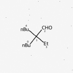 CCCCC(C=O)(CC)CCCC